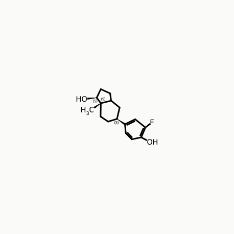 C[C@]12CC[C@H](c3ccc(O)c(F)c3)CC1CC[C@@H]2O